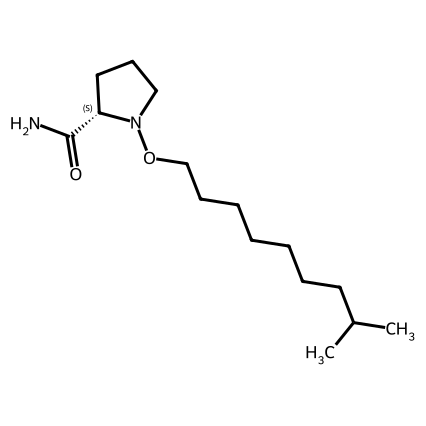 CC(C)CCCCCCCON1CCC[C@H]1C(N)=O